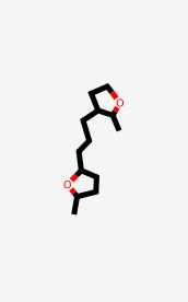 CC1CCC(CCCC2CCOC2C)O1